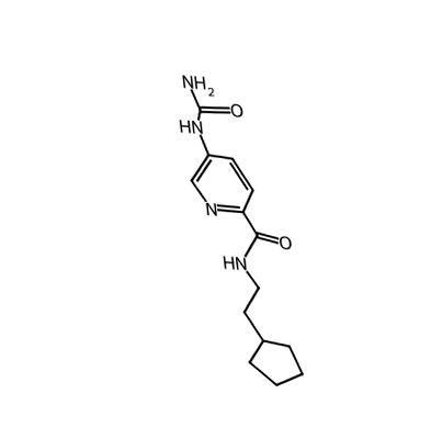 NC(=O)Nc1ccc(C(=O)NCCC2CCCC2)nc1